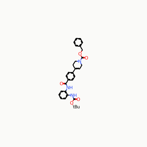 CC(C)(C)OC(=O)Nc1ccccc1NC(=O)c1ccc(C2=CCN(C(=O)OCc3ccccc3)CC2)cc1